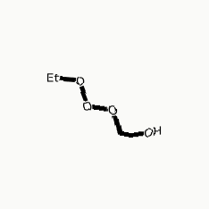 CCOOOCO